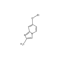 CCOc1ccn2cc(C)nc2c1